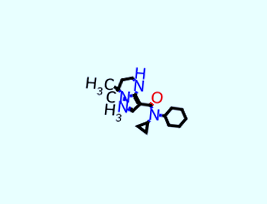 CC1(C)CCNc2c(C(=O)N(C3CCCCC3)C3CC3)cnn21